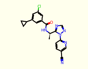 C[C@@H](NC(=O)c1cc(Cl)cc(C2CC2)c1)c1ncnn1-c1ccc(C#N)cn1